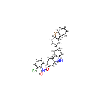 O=[N+]([O-])c1c(Br)cccc1-c1ccc2[nH]c3ccc(-c4ccc5sc6ccccc6c5c4)cc3c2c1